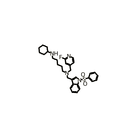 O=S(=O)(c1ccccc1)n1cc(CN(CCCCCNC2CCCCC2)Cc2ccnc(F)c2)c2ccccc21